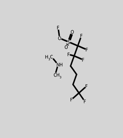 CNC.O=S(=O)(OF)C(F)(F)C(F)(F)CCCC(F)(F)F